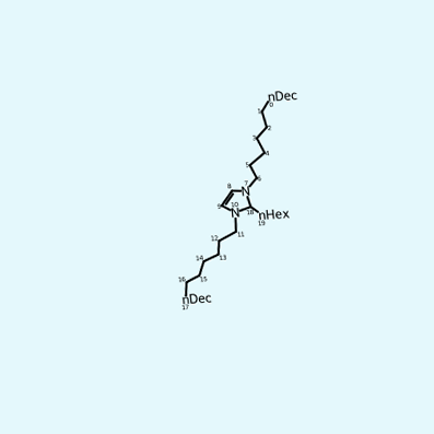 CCCCCCCCCCCCCCCCN1C=CN(CCCCCCCCCCCCCCCC)C1CCCCCC